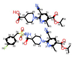 Cc1nc(N2CCC(C(=O)NS(=O)(=O)Cc3ccc(F)cc3)CC2)c(C#N)cc1C(=O)OC(C)C.Cc1nc(N2CCC(C(=O)O)CC2)c(C#N)cc1C(=O)OC(C)C